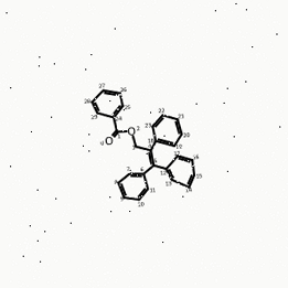 O=C(OCC(=C(c1ccccc1)c1ccccc1)c1ccccc1)c1ccccc1